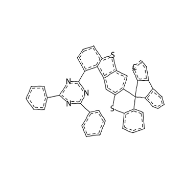 c1ccc(-c2nc(-c3ccccc3)nc(-c3cccc4sc5cc6c(cc5c34)Sc3ccccc3C63c4ccccc4-c4ccccc43)n2)cc1